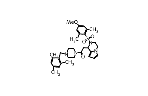 COc1cc(C)c(S(=O)(=O)N2CCn3cccc3C2CC(=O)N2CCN(Cc3c(C)cc(C)cc3C)CC2)c(C)c1